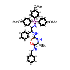 COc1ccc(P(=NC[C@@H](NC(=S)N[C@@H](C(=O)NCc2ccccc2)C(C)(C)C)c2ccccc2)(c2ccc(OC)cc2)c2ccc(OC)cc2)cc1